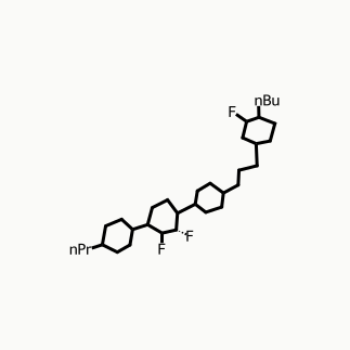 CCCCC1CCC(CCCC2CCC(C3CCC(C4CCC(CCC)CC4)C(F)[C@H]3F)CC2)CC1F